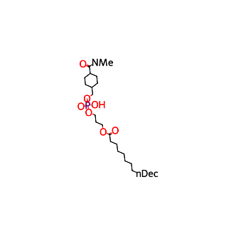 CCCCCCCCCCCCCCCCCC(=O)OCCCOP(=O)(O)OCC1CCC(C(=O)NC)CC1